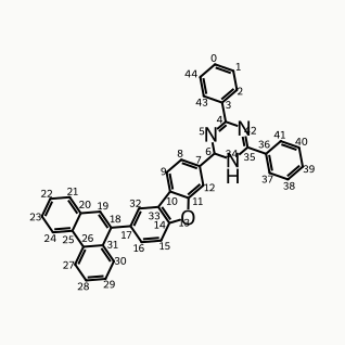 c1ccc(C2=NC(c3ccc4c(c3)oc3ccc(-c5cc6ccccc6c6ccccc56)cc34)NC(c3ccccc3)=N2)cc1